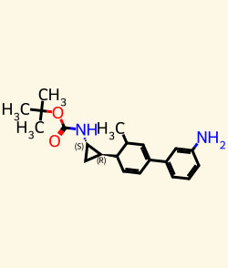 CC1C=C(c2cccc(N)c2)C=CC1[C@H]1C[C@@H]1NC(=O)OC(C)(C)C